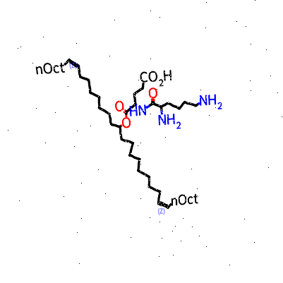 CCCCCCCC/C=C\CCCCCCCCC(CCCCCCC/C=C\CCCCCCCC)OC(=O)C(CCC(=O)O)NC(=O)C(N)CCCCN